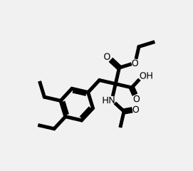 CCOC(=O)C(Cc1ccc(CC)c(CC)c1)(NC(C)=O)C(=O)O